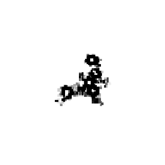 Cc1cc(Oc2ccccc2)ccc1C1(N)C(=O)C(N)c2c(C(=O)NC3=CN(C)C=CC=C3)sc3c(N)ccc1c23